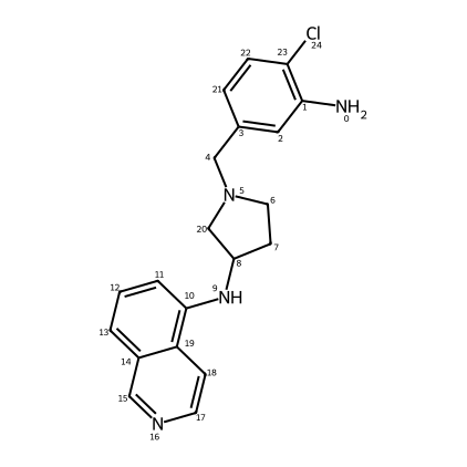 Nc1cc(CN2CCC(Nc3cccc4cnccc34)C2)ccc1Cl